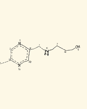 Cc1cnc(CNCCO)cn1